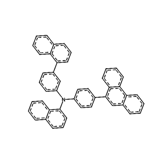 c1cc(-c2cccc3ccccc23)cc(N(c2ccc(-c3cc4ccccc4c4ccccc34)cc2)c2cccc3ccccc23)c1